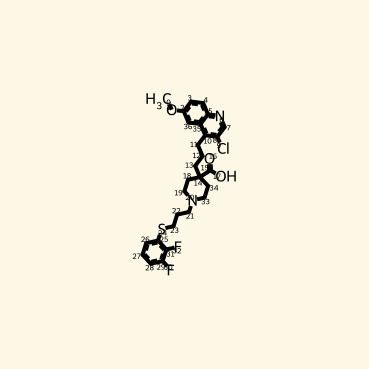 COc1ccc2ncc(Cl)c(CCCC3(C(=O)O)CCN(CCCSc4cccc(F)c4F)CC3)c2c1